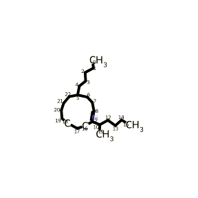 CCCCCC1CC/C=C(/C(C)CCCC)CCCCCCC1